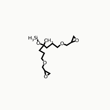 CC(CCCOCC1CO1)(CCCOCC1CO1)O[SiH3]